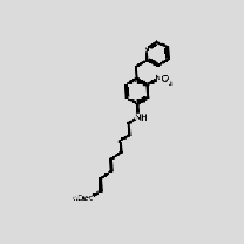 CCCCCCCCCCCCCCCCCCNc1ccc(Cc2ccccn2)c([N+](=O)[O-])c1